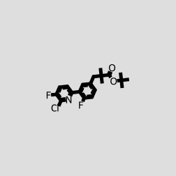 CC(C)(C)OC(=O)C(C)(C)Cc1ccc(F)c(-c2ccc(F)c(Cl)n2)c1